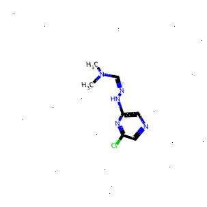 CN(C)/C=N\Nc1cncc(Cl)n1